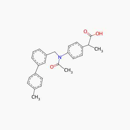 CC(=O)N(Cc1cccc(-c2ccc(C)cc2)c1)c1ccc(C(C)C(=O)O)cc1